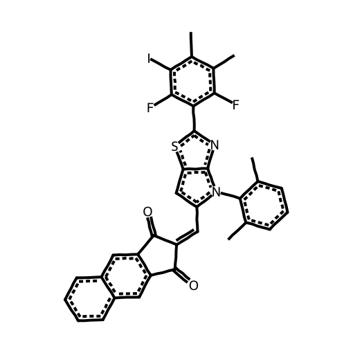 Cc1cccc(C)c1-n1c(C=C2C(=O)c3cc4ccccc4cc3C2=O)cc2sc(-c3c(F)c(C)c(C)c(I)c3F)nc21